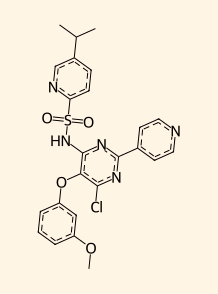 COc1cccc(Oc2c(Cl)nc(-c3ccncc3)nc2NS(=O)(=O)c2ccc(C(C)C)cn2)c1